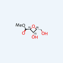 COC(=O)[C@H]1O[C@H](CO)[C@@H]1O